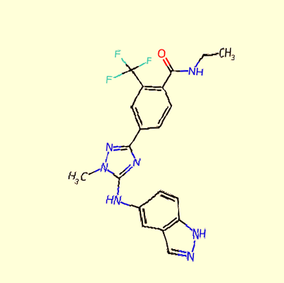 CCNC(=O)c1ccc(-c2nc(Nc3ccc4[nH]ncc4c3)n(C)n2)cc1C(F)(F)F